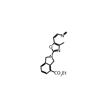 C=N/C=C\c1oc(N2Cc3cccc(C(=O)OCC)c3C2)nc1C